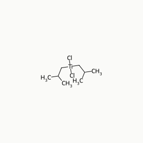 CC(C)[CH2][Ti]([Cl])([Cl])[CH2]C(C)C